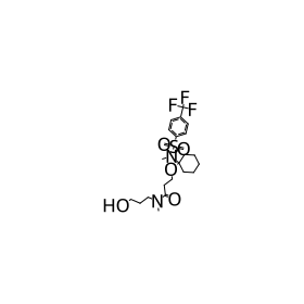 CN(CCCO)C(=O)CCOC1(N(C)S(=O)(=O)c2ccc(C(F)(F)F)cc2)CCCCC1